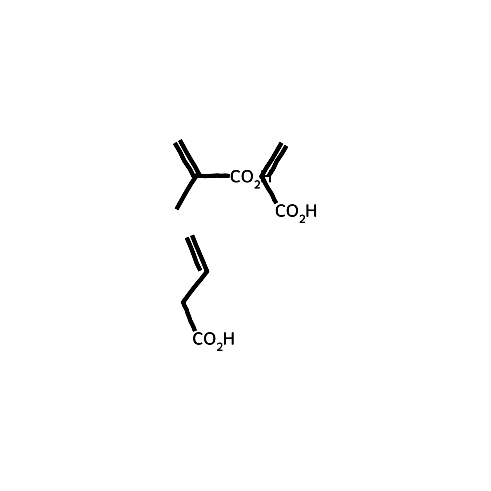 C=C(C)C(=O)O.C=CC(=O)O.C=CCC(=O)O